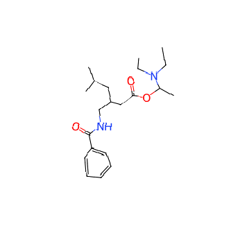 CCN(CC)C(C)OC(=O)CC(CNC(=O)c1ccccc1)CC(C)C